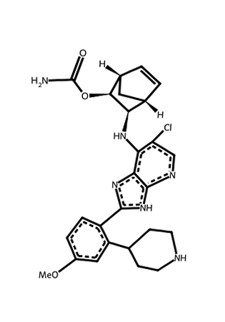 COc1ccc(-c2nc3c(N[C@H]4[C@@H](OC(N)=O)[C@@H]5C=C[C@H]4C5)c(Cl)cnc3[nH]2)c(C2CCNCC2)c1